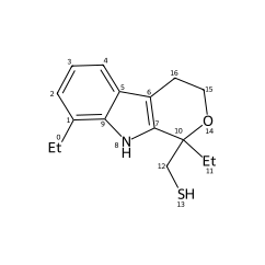 CCc1cccc2c3c([nH]c12)C(CC)(CS)OCC3